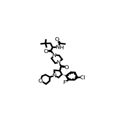 CC(=O)NC(CC(C)(C)C)C(=O)N1CCN(C(=O)C2CN(C3CCOCC3)C[C@H]2c2ccc(Cl)cc2F)CC1